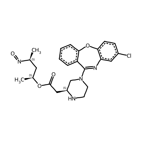 C[C@@H](C[C@H](C)OC(=O)C[C@H]1CN(C2=Nc3cc(Cl)ccc3Oc3ccccc32)CCN1)N=O